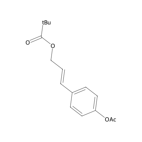 CC(=O)Oc1ccc(C=CCOC(=O)C(C)(C)C)cc1